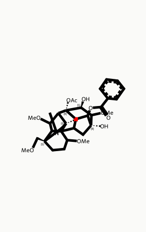 COC[C@@]12CCC(OC)C34C5C[C@@]6(O)C(OC(=O)c7ccccc7)C5[C@@](OC(C)=O)(C(C(OC)C31)[C@@H]4N(C)C2)[C@@H](O)C6OC